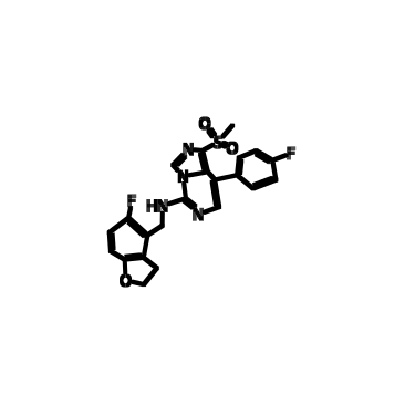 CS(=O)(=O)c1ncn2c(NCc3c(F)ccc4c3CCO4)ncc(-c3ccc(F)cc3)c12